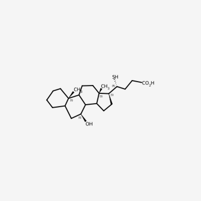 C[C@]12CCCCC1C[C@H](O)C1C2CC[C@@]2(C)C1CC[C@@H]2[C@H](S)CCC(=O)O